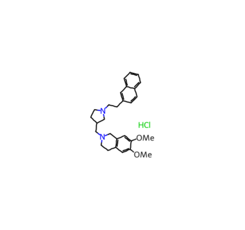 COc1cc2c(cc1OC)CN(CC1CCN(CCc3ccc4ccccc4c3)C1)CC2.Cl